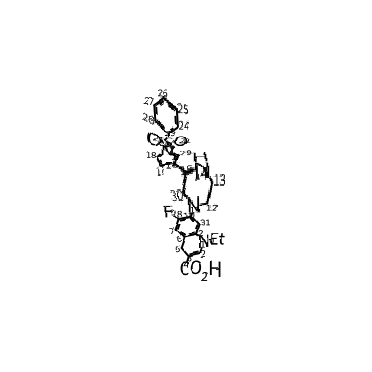 CCN1C=C(C(=O)O)Cc2cc(F)c(N3CCNC(c4ccn(S(=O)(=O)c5ccccc5)c4)C3)cc21